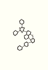 c1ccc(-c2ccc(-c3cccc4c3-c3cccc5c(-c6nc(-c7ccccc7)nc(-c7ccccc7)n6)ccc(c35)S4)cc2)cc1